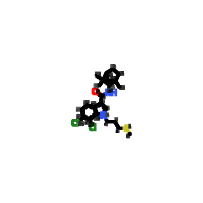 CSCCCn1cc(C(=O)NC2C3(C)CCC(C3)C2(C)C)c2ccc(Cl)c(Cl)c21